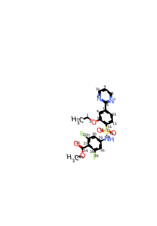 CCOc1cc(-c2ncccn2)ccc1S(=O)(=O)Nc1cc(F)c(C(=O)OC)c(F)c1